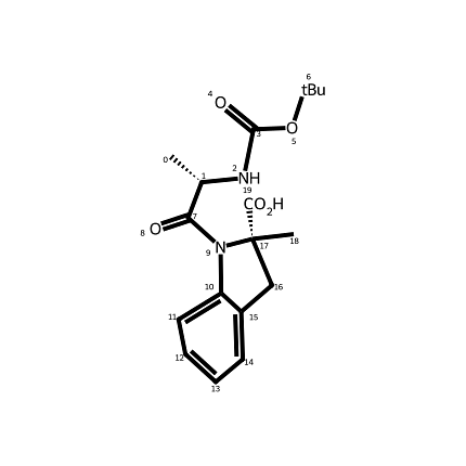 C[C@H](NC(=O)OC(C)(C)C)C(=O)N1c2ccccc2C[C@@]1(C)C(=O)O